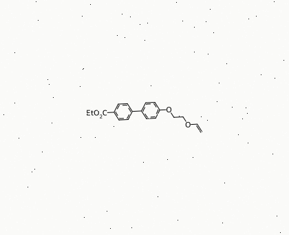 C=COCCOc1ccc(-c2ccc(C(=O)OCC)cc2)cc1